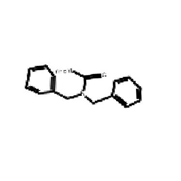 CCCCCC(=O)N(Cc1ccccc1)Cc1ccccc1